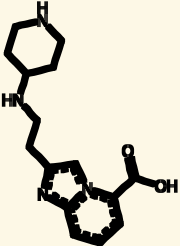 O=C(O)c1cccc2nc(CCNC3CCNCC3)cn12